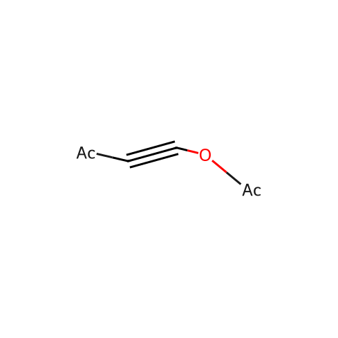 CC(=O)C#COC(C)=O